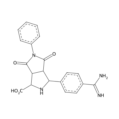 N=C(N)c1ccc(C2NC(C(=O)O)C3C(=O)N(c4ccccc4)C(=O)C23)cc1